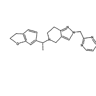 CC(c1ccc2c(c1)OCC2)N1CCc2nn(Cc3ncccn3)cc2C1